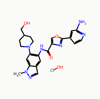 Cn1ncc2cc(NC(=O)c3coc(-c4ccnc(N)c4)n3)c(N3CCC(CO)CC3)cc21.OCl